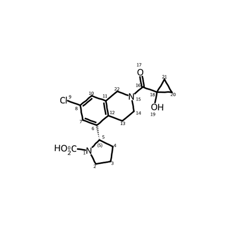 O=C(O)N1CCC[C@H]1c1cc(Cl)cc2c1CCN(C(=O)C1(O)CC1)C2